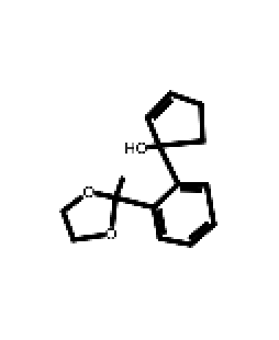 CC1(c2ccccc2C2(O)C=CCC2)OCCO1